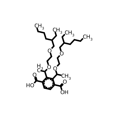 CCCCC(CC)COCCOC(C)c1c(C(=O)O)ccc(C(=O)O)c1C(C)OCCOCC(CC)CCCC